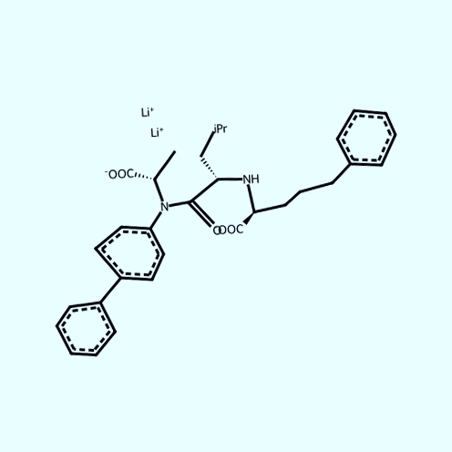 CC(C)C[C@H](N[C@@H](CCCc1ccccc1)C(=O)[O-])C(=O)N(c1ccc(-c2ccccc2)cc1)[C@@H](C)C(=O)[O-].[Li+].[Li+]